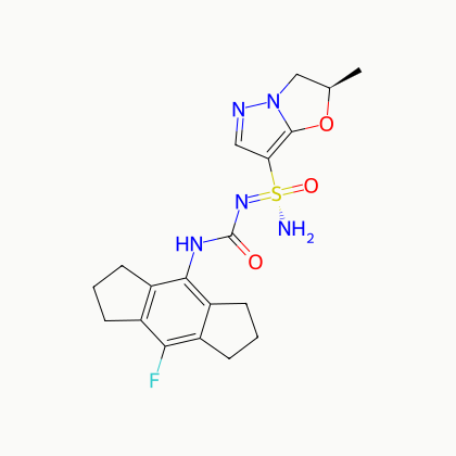 C[C@@H]1Cn2ncc([S@@](N)(=O)=NC(=O)Nc3c4c(c(F)c5c3CCC5)CCC4)c2O1